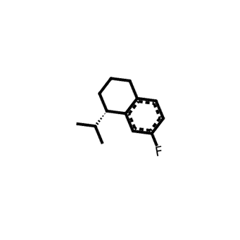 CC(C)[C@@H]1CCCc2ccc(F)cc21